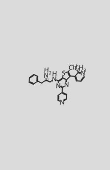 Cc1ncccc1-c1c(C)sc2c(NC[C@@H](N)Cc3ccccc3)nc(-c3ccncc3)nc12